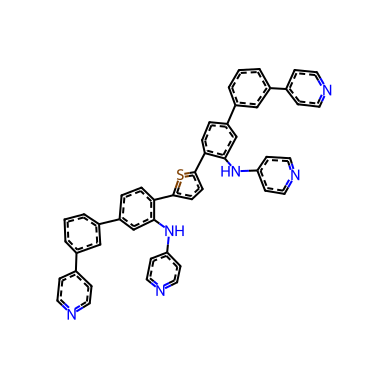 c1cc(-c2ccncc2)cc(-c2ccc(-c3ccc(-c4ccc(-c5cccc(-c6ccncc6)c5)cc4Nc4ccncc4)s3)c(Nc3ccncc3)c2)c1